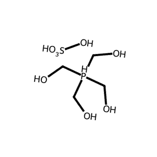 O=S(=O)(O)O.OC[PH](CO)(CO)CO